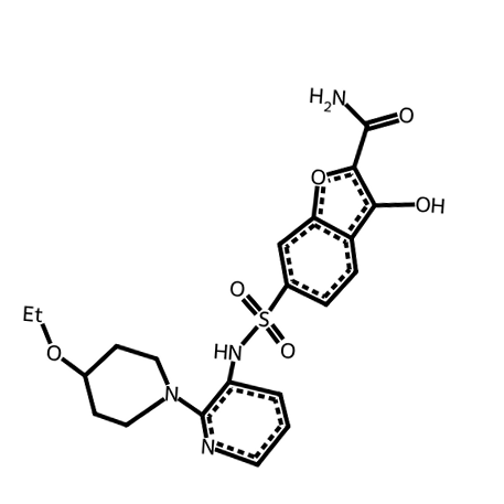 CCOC1CCN(c2ncccc2NS(=O)(=O)c2ccc3c(O)c(C(N)=O)oc3c2)CC1